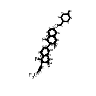 CC1CCC(COc2ccc3c(F)c(-c4ccc5c(F)c(C#CC(F)(F)F)c(F)cc5c4)c(F)cc3c2)CC1